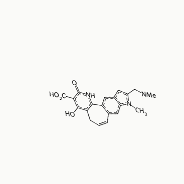 CNCc1cc2cc3c(cc2n1C)C=CCc1c-3[nH]c(=O)c(C(=O)O)c1O